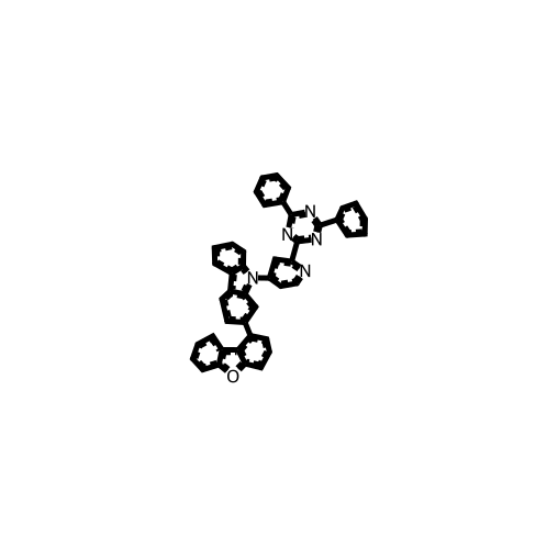 c1ccc(-c2nc(-c3ccccc3)nc(-c3cc(-n4c5ccccc5c5ccc(-c6cccc7oc8ccccc8c67)cc54)ccn3)n2)cc1